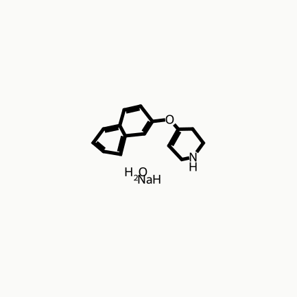 C1=C(Oc2ccc3ccccc3c2)CCNC1.O.[NaH]